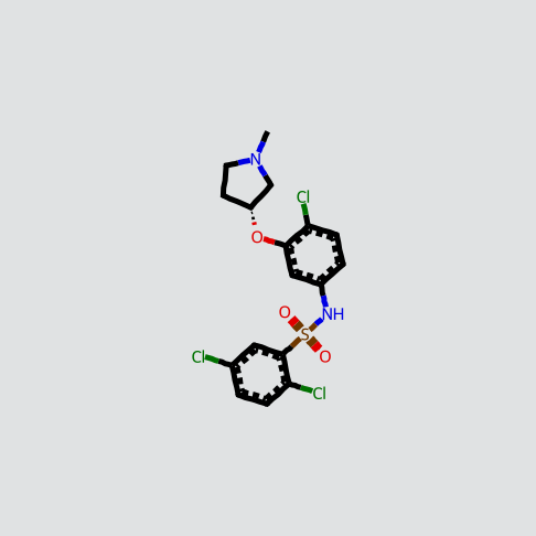 CN1CC[C@@H](Oc2cc(NS(=O)(=O)c3cc(Cl)ccc3Cl)ccc2Cl)C1